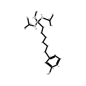 CO[Si](CCCCCCc1cccc(F)c1)(OC(C)C)OC(C)C